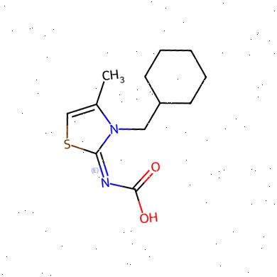 Cc1cs/c(=N/C(=O)O)n1CC1CCCCC1